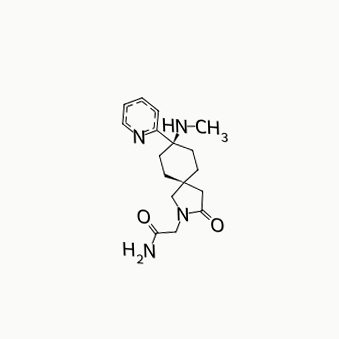 CN[C@]1(c2ccccn2)CC[C@@]2(CC1)CC(=O)N(CC(N)=O)C2